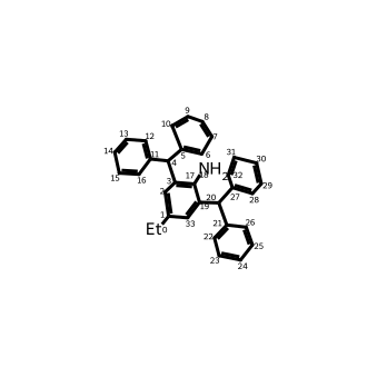 CCc1cc(C(c2ccccc2)c2ccccc2)c(N)c(C(c2ccccc2)c2ccccc2)c1